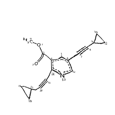 COC(=O)c1cc(C#CC2CC2)cnc1C#CC1CC1